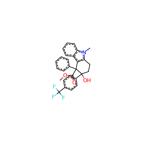 COC(=O)C1(c2ccccc2)c2c(n(C)c3ccccc23)CCC1(O)c1ccc(C(F)(F)F)cc1